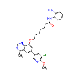 COc1ncc(-c2cc(OCCCCCCC(=O)Nc3ccccc3N)c3ncnc(C)c3c2)cc1F